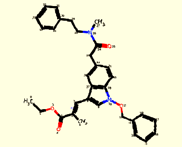 CCOC(=O)/C(C)=C/c1cn(OCc2ccccc2)c2ccc(CC(=O)N(C)CCc3ccccc3)cc12